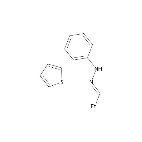 CCC=NNc1ccccc1.c1ccsc1